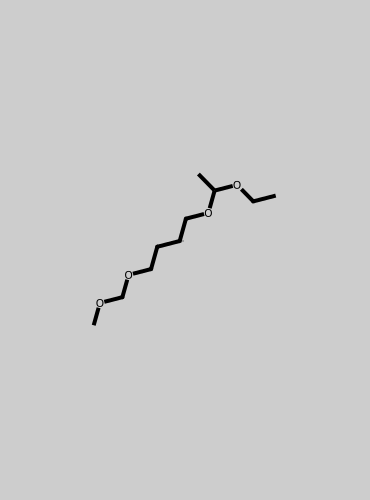 CCOC(C)OC[CH]CCOCOC